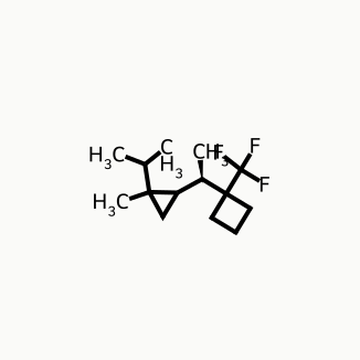 CC(C)C1(C)CC1[C@@H](C)C1(C(F)(F)F)CCC1